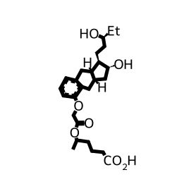 CC[C@H](O)CC[C@@H]1[C@H]2Cc3cccc(OCC(=O)OC(C)CCCC(=O)O)c3C[C@H]2C[C@H]1O